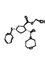 CCOC(=O)[C@@H]1C[C@@H](Sc2ccccc2)C[C@H]1C(=O)N1CCOCC1